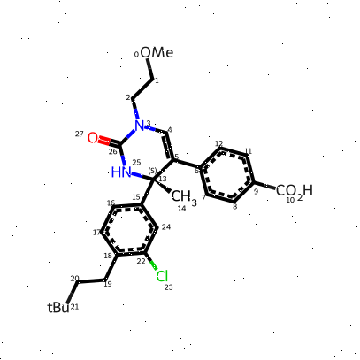 COCCN1C=C(c2ccc(C(=O)O)cc2)[C@](C)(c2ccc(CCC(C)(C)C)c(Cl)c2)NC1=O